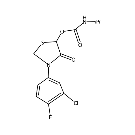 CC(C)NC(=O)OC1SCN(c2ccc(F)c(Cl)c2)C1=O